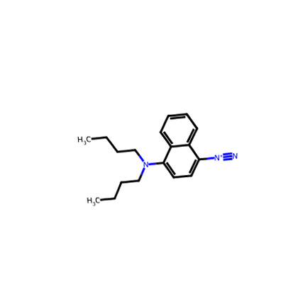 CCCCN(CCCC)c1ccc([N+]#N)c2ccccc12